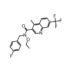 CCON(Cc1ccc(F)cc1)C(=O)c1cnc2cc(C(F)(F)F)ccc2c1C